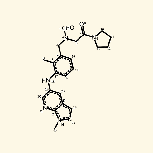 Cc1c(CN(C=O)CC(=O)N2CCCC2)cccc1Nc1cnc2c(cnn2C)c1